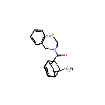 O=CCN(Cc1ccccc1)C(=O)C1C2C=CC(CC2)C1C(=O)O